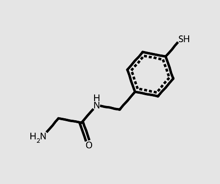 NCC(=O)NCc1ccc(S)cc1